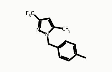 Cc1ccc(Cn2nc(C(F)(F)F)cc2C(F)(F)F)cc1